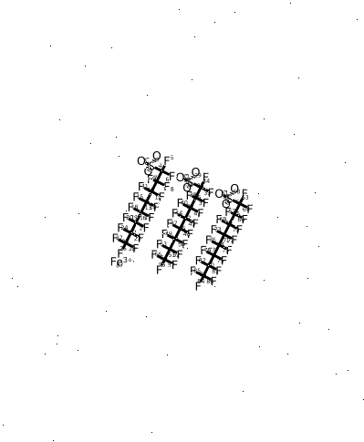 O=S(=O)([O-])C(F)(F)C(F)(F)C(F)(F)C(F)(F)C(F)(F)C(F)(F)C(F)(F)C(F)(F)F.O=S(=O)([O-])C(F)(F)C(F)(F)C(F)(F)C(F)(F)C(F)(F)C(F)(F)C(F)(F)C(F)(F)F.O=S(=O)([O-])C(F)(F)C(F)(F)C(F)(F)C(F)(F)C(F)(F)C(F)(F)C(F)(F)C(F)(F)F.[Fe+3]